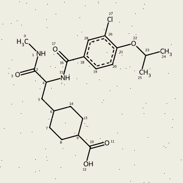 CNC(=O)C(CC1CCC(C(=O)O)CC1)NC(=O)c1ccc(OC(C)C)c(Cl)c1